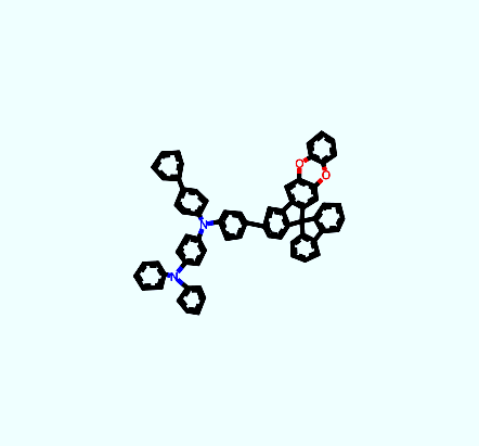 c1ccc(-c2ccc(N(c3ccc(-c4ccc5c(c4)-c4cc6c(cc4C54c5ccccc5-c5ccccc54)Oc4ccccc4O6)cc3)c3ccc(N(c4ccccc4)c4ccccc4)cc3)cc2)cc1